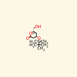 CC(C)(C)[Si](C)(C)OC1CC(=O)O[C@H](CO)C1